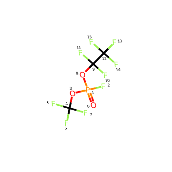 O=P(F)(OC(F)(F)F)OC(F)(F)C(F)(F)F